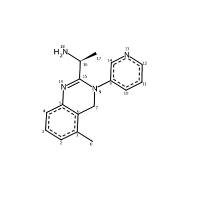 Cc1cccc2c1CN(c1cccnc1)C([C@H](C)N)=N2